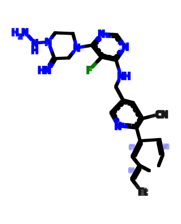 C\C=C/C(=C\C(C)=C\CC)c1ncc(CNc2ncnc(N3CCN(NN)C(=N)C3)c2F)cc1C#N